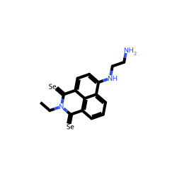 CCN1C(=[Se])c2cccc3c(NCCN)ccc(c23)C1=[Se]